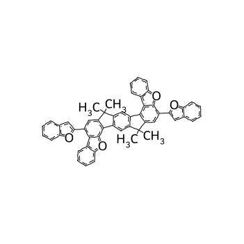 CC1(C)c2cc3c(cc2-c2c1cc(-c1cc4ccccc4o1)c1c2oc2ccccc21)C(C)(C)c1cc(-c2cc4ccccc4o2)c2oc4ccccc4c2c1-3